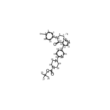 Cc1ccc(N2C[C@H](C)n3ncc(-c4ccc(N5CCN(C(=O)OC(C)(C)C)CC5)nc4)c3C2=O)cc1